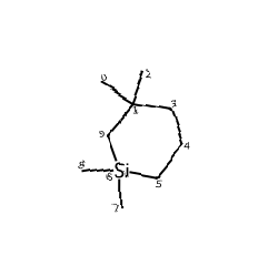 CC1(C)CCC[Si](C)(C)C1